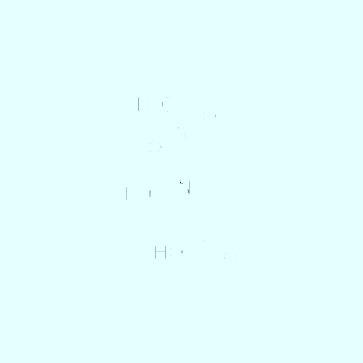 Cn1c(C(=O)O)ccc1S(C)(=O)=O